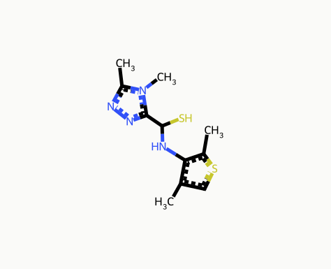 Cc1csc(C)c1NC(S)c1nnc(C)n1C